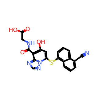 N#Cc1cccc2c(Sc3cc(O)c(C(=O)NCC(=O)O)c4ncnn34)cccc12